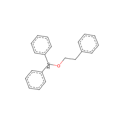 c1ccc(CCO[SiH](c2ccccc2)c2ccccc2)cc1